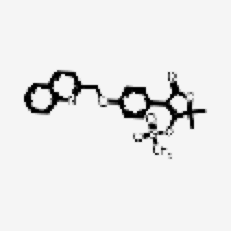 CC1(C)OC(=O)C(c2ccc(OCc3ccc4ccccc4n3)cc2)=C1OS(=O)(=O)C(F)(F)F